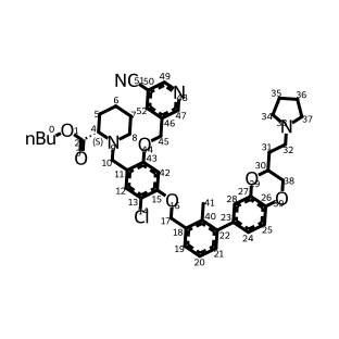 CCCCOC(=O)[C@@H]1CCCCN1Cc1cc(Cl)c(OCc2cccc(-c3ccc4c(c3)OC(CCN3CCCC3)CO4)c2C)cc1OCc1cncc(C#N)c1